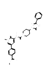 COC(=O)c1ccc(-c2cc(NC(=O)N3CCC(n4nc(-c5ccccc5)[nH]c4=O)CC3)c(=O)n(C)c2)cc1